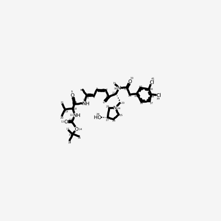 C=C(/C=C\C=C(/C)NC(=O)C(NC(=O)OC(C)(C)C)C(C)C)[C@@H](CN1CC[C@H](O)C1)N(C)C(=O)Cc1ccc(Cl)c(Cl)c1